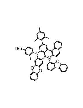 Cc1cc(C)c(-c2cc3c4c(c2)N(c2ccc(C(C)(C)C)cc2C)c2cc5c(cc2B4N(c2cccc4c2oc2ccccc24)c2ccc4ccccc4c2-3)Oc2ccccc2O5)c(C)c1